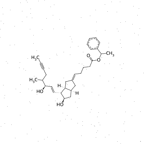 CC#CCC(C)[C@H](O)C=C[C@@H]1[C@H]2CC(=CCCCC(=O)OC(C)c3ccccc3)C[C@H]2C[C@H]1O